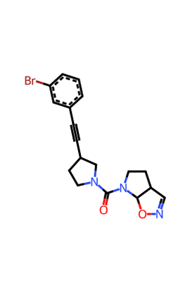 O=C(N1CCC(C#Cc2cccc(Br)c2)C1)N1CCC2C=NOC21